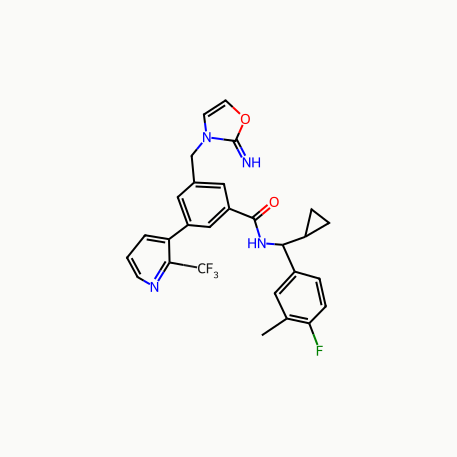 Cc1cc(C(NC(=O)c2cc(Cn3ccoc3=N)cc(-c3cccnc3C(F)(F)F)c2)C2CC2)ccc1F